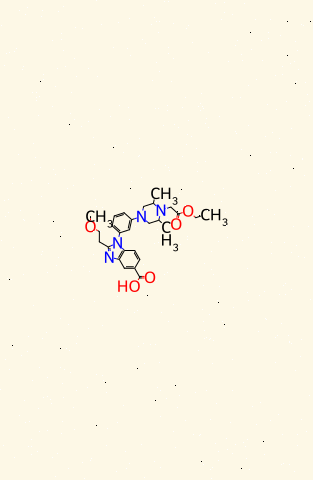 CCOC(=O)CN1C(C)CN(c2cccc(-n3c(CCOC)nc4cc(C(=O)O)ccc43)c2)CC1C